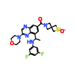 CC(Nc1cc(F)cc(F)c1)c1cc(C(=O)N2CC3(C2)C[S+]([O-])C3)cc2ncc(N3CCOCC3)nc12